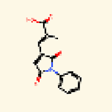 CC(=CC1=CC(=O)N(c2ccccc2)C1=O)C(=O)O